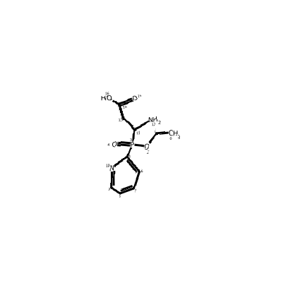 CCOP(=O)(c1ccccn1)C(N)CC(=O)O